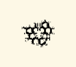 Cc1cc(C(C)Nc2cccc3cc[nH]c(=O)c23)c2oc(-c3cccnc3)c(C)c(=O)c2c1